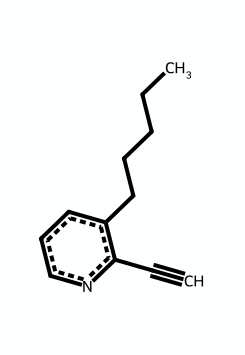 C#Cc1ncccc1CCCCC